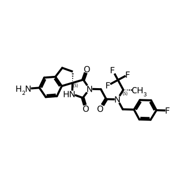 C[C@H](N(Cc1ccc(F)cc1)C(=O)CN1C(=O)N[C@]2(CCc3cc(N)ccc32)C1=O)C(F)(F)F